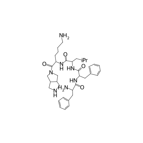 CC(C)CC(NC(=O)C(Cc1ccccc1)NC(=O)C(N)Cc1ccccc1)C(=O)NC(CCCCN)C(=O)N1CC2CNCC2C1